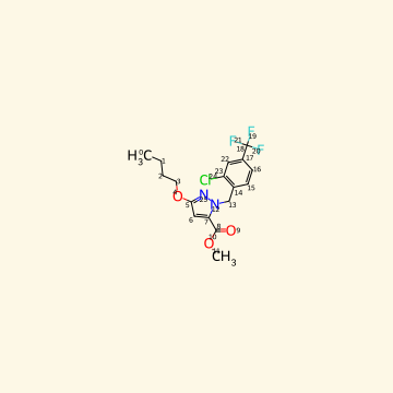 CCCCOc1cc(C(=O)OC)n(Cc2ccc(C(F)(F)F)cc2Cl)n1